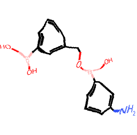 Nc1cccc(B(O)OCc2cccc(B(O)O)c2)c1